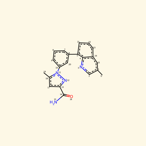 Cc1cnc2c(-c3cccc(-n4nc(C(N)=O)cc4C)c3)cccc2c1